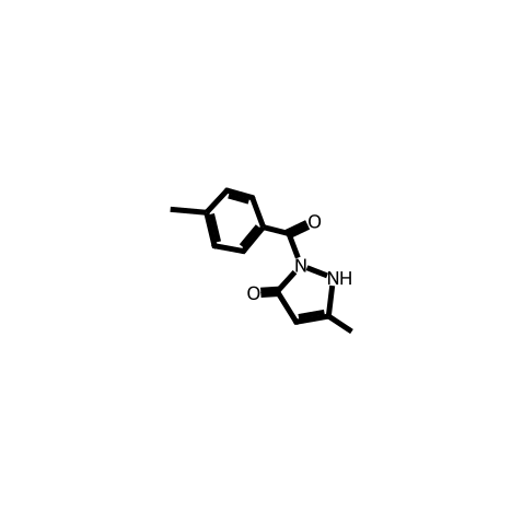 Cc1ccc(C(=O)n2[nH]c(C)cc2=O)cc1